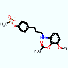 CCCCC(=O)Oc1c(NCCCc2ccc(OS(C)(=O)=O)cc2)cccc1OCC